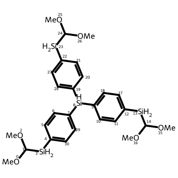 COC(OC)[SiH2]c1ccc([SiH](c2ccc([SiH2]C(OC)OC)cc2)c2ccc([SiH2]C(OC)OC)cc2)cc1